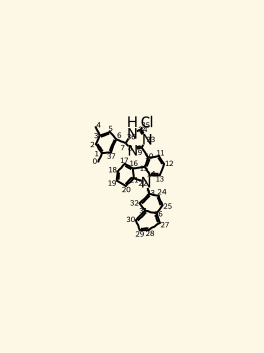 Cc1cc(C)cc(C2N=C(c3cccc4c3c3ccccc3n4-c3ccc4ccccc4c3)N=C(Cl)N2)c1